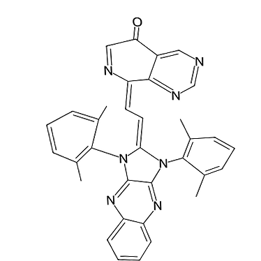 Cc1cccc(C)c1N1C(=C/C=C2/N=CC(=O)c3cncnc32)N(c2c(C)cccc2C)c2nc3ccccc3nc21